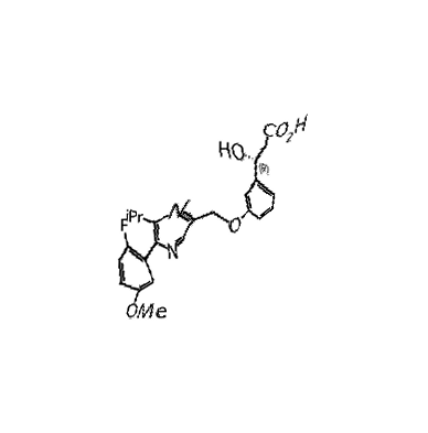 COc1ccc(F)c(-c2ncc(COc3cccc([C@H](O)CC(=O)O)c3)nc2C(C)C)c1